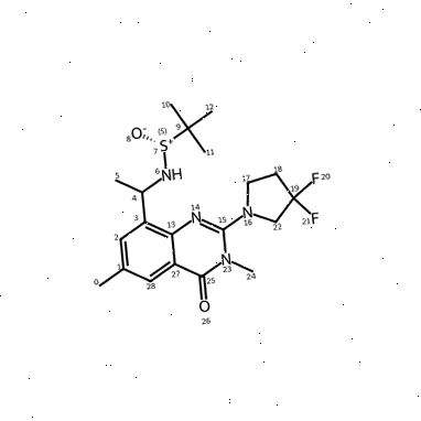 Cc1cc(C(C)N[S@+]([O-])C(C)(C)C)c2nc(N3CCC(F)(F)C3)n(C)c(=O)c2c1